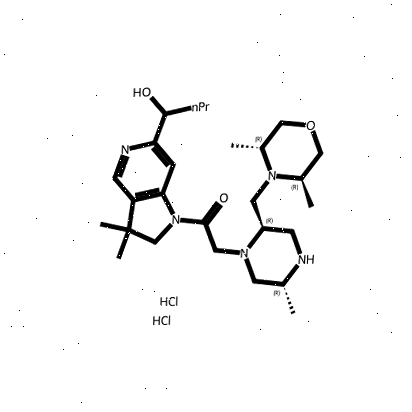 CCCC(O)c1cc2c(cn1)C(C)(C)CN2C(=O)CN1C[C@@H](C)NC[C@@H]1CN1[C@H](C)COC[C@H]1C.Cl.Cl